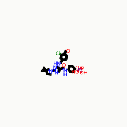 O=Cc1ccc(CNc2nc(N3CCC4(CC4)C3)ncc2C(=O)N[C@H]2CC[C@H](OP(=O)(O)O)CC2)cc1Cl